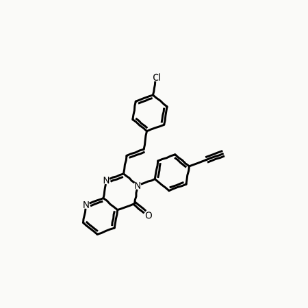 C#Cc1ccc(-n2c(C=Cc3ccc(Cl)cc3)nc3ncccc3c2=O)cc1